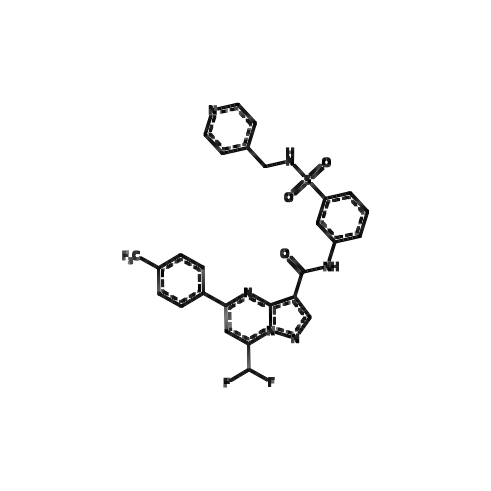 O=C(Nc1cccc(S(=O)(=O)NCc2ccncc2)c1)c1cnn2c(C(F)F)cc(-c3ccc(C(F)(F)F)cc3)nc12